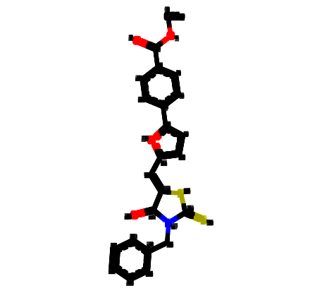 COOC(=O)c1ccc(-c2ccc(/C=C3\SC(=S)N(Cc4cc#ccc4)C3=O)o2)cc1